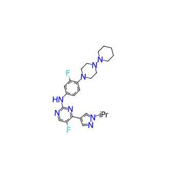 CC(C)n1cc(-c2nc(Nc3ccc(N4CCN(N5CCCCC5)CC4)c(F)c3)ncc2F)cn1